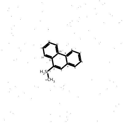 C[SiH2]c1cc2ccccc2c2ccccc12